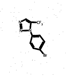 FC(F)(F)c1cnnn1-c1ccc(Br)cc1